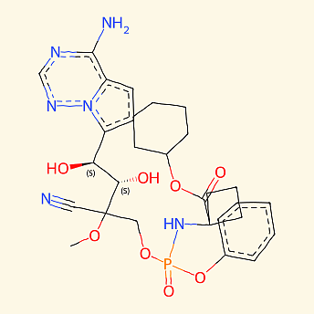 COC(C#N)(COP(=O)(NC1(C(=O)OC2CCCCC2)CCC1)Oc1ccccc1)[C@@H](O)[C@@H](O)c1ccc2c(N)ncnn12